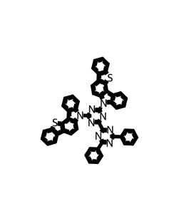 c1ccc(-c2nc(-c3ccccc3)nc(-c3nc(-n4c5ccccc5c5c6sc7ccccc7c6ccc54)nc(-n4c5ccccc5c5c6sc7ccccc7c6ccc54)n3)n2)cc1